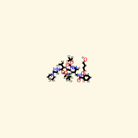 COCCCCOc1ccccc1C(=O)NC[C@@H](C[C@H](NC(=O)OC(C)(C)C)[C@H](C[C@H](C(=O)NCCN1CCSCC1)C(C)C)O[Si](C)(C)C(C)(C)C)C(C)C